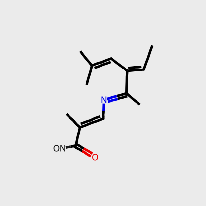 C/C=C(C=C(C)C)/C(C)=N/C=C(\C)C(=O)N=O